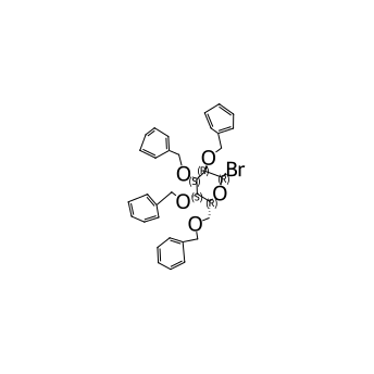 Br[C@H]1O[C@H](COCc2ccccc2)[C@H](OCc2ccccc2)[C@H](OCc2ccccc2)[C@H]1OCc1ccccc1